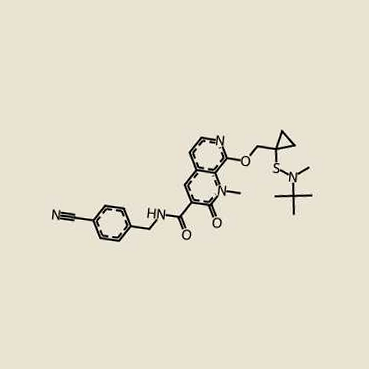 CN(SC1(COc2nccc3cc(C(=O)NCc4ccc(C#N)cc4)c(=O)n(C)c23)CC1)C(C)(C)C